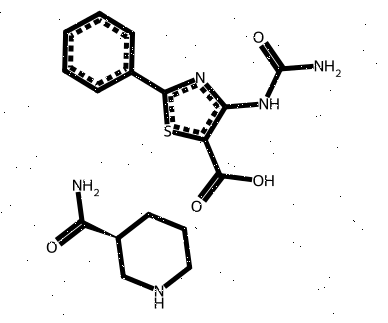 NC(=O)Nc1nc(-c2ccccc2)sc1C(=O)O.NC(=O)[C@H]1CCCNC1